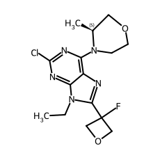 CCn1c(C2(F)COC2)nc2c(N3CCOC[C@@H]3C)nc(Cl)nc21